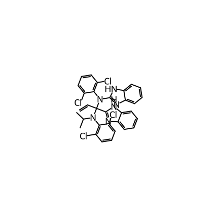 C=CC(c1nc2ccccc2[nH]1)(N(c1nc2ccccc2[nH]1)c1c(Cl)cccc1Cl)N(c1c(Cl)cccc1Cl)C(C)C